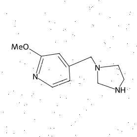 COc1cc(CN2CCNC2)ccn1